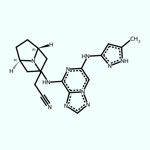 Cc1cc(Nc2cn3ncnc3c(NC3C[C@H]4CC[C@H](C3)N4CCC#N)n2)n[nH]1